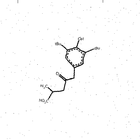 CC(CC(=O)Cc1cc(C(C)(C)C)c(O)c(C(C)(C)C)c1)C(=O)O